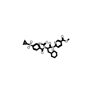 COC(=O)c1ccc(NC(=O)C(CC2CCCCC2)n2c(=O)[nH]c3cc(S(=O)(=O)C4CC4)ccc3c2=O)nc1